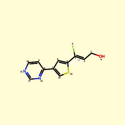 OC/C=C(\F)c1cc(-c2ccncn2)cs1